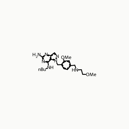 CCCCNc1nc(N)nc2cnn(Cc3ccc(CNCCOC)cc3OC)c12